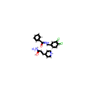 NC(=O)/C=C/c1ccncc1.O=C(NCc1ccc(Cl)c(Cl)c1)c1ccccc1